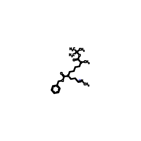 C/N=C/CCN(CCCCN(C)C(=O)OC(C)(C)C)C(=O)OCc1ccccc1